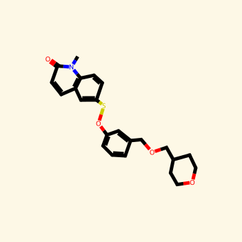 Cn1c(=O)ccc2cc(SOc3cccc(COCC4CCOCC4)c3)ccc21